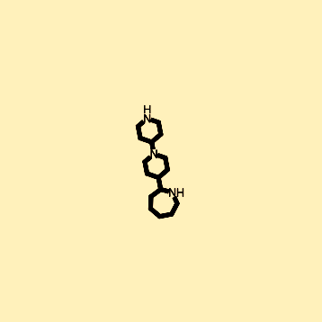 C1CCNC(C2CCN(C3CCNCC3)CC2)CC1